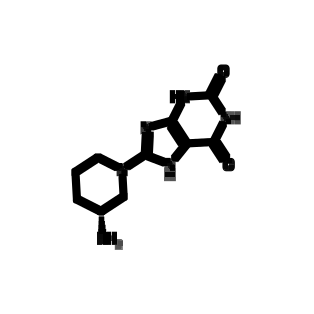 N[C@@H]1CCCN(c2nc3[nH]c(=O)[nH]c(=O)c3[nH]2)C1